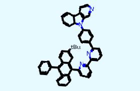 CC(C)(C)c1ccc2c(-c3ccccc3)c3ccccc3c(-c3cccc(-c4cccc(-c5ccc(N6c7cnccc7C7C=CC=CC76)cc5)n4)n3)c2c1